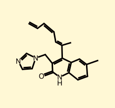 C=C/C=C\C=C(/C)c1c(Cn2ccnc2)c(=O)[nH]c2ccc(C)cc12